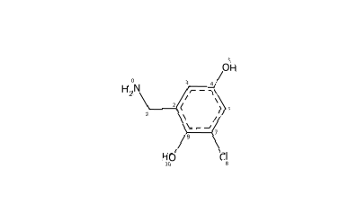 NCc1cc(O)cc(Cl)c1O